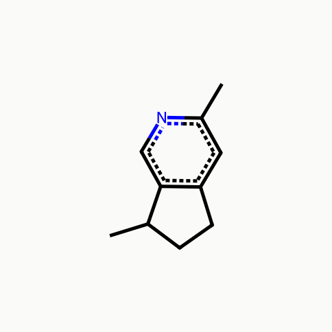 Cc1cc2c(cn1)C(C)CC2